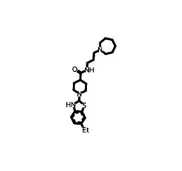 CCc1ccc2c(c1)SC(N1CCC(C(=O)NCCCN3CCCCCC3)CC1)N2